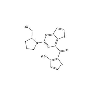 Cc1ccsc1C(=O)c1nc(N2CCC[C@@H]2CO)nc2ccsc12